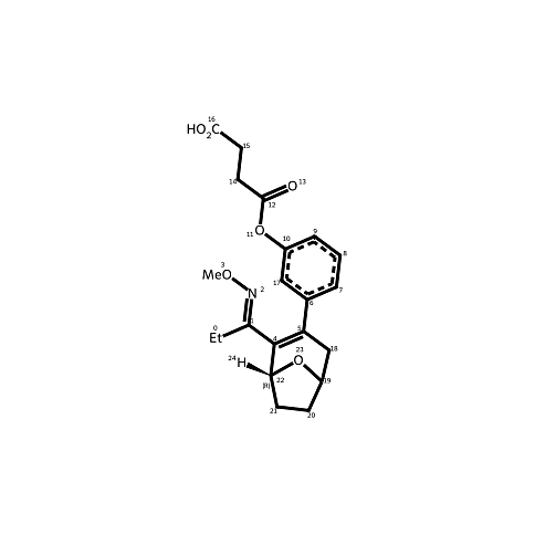 CCC(=NOC)C1=C(c2cc[c]c(OC(=O)CCC(=O)O)c2)CC2CC[C@H]1O2